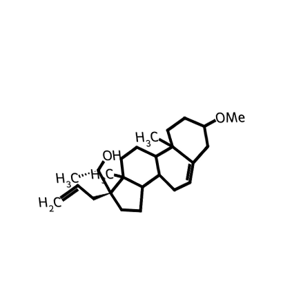 C=CC[C@]1([C@H](C)O)CCC2C3CC=C4CC(OC)CCC4(C)C3CCC21C